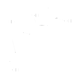 CCCCC(C)CC(O)CC(=O)O